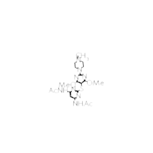 COc1nc(N2CCN(C)CC2)nc(OC)c1Sc1nc(NC(C)=O)cc(NC(C)=O)n1